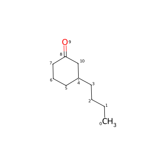 CCCC[C]1CCCC(=O)C1